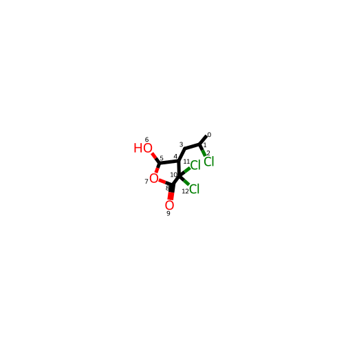 CC(Cl)CC1C(O)OC(=O)C1(Cl)Cl